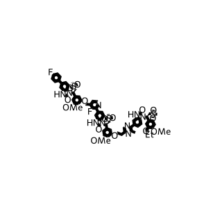 CCOc1cc([C@H](CS(C)(=O)=O)n2c(=O)[nH]c3cc(-c4ncc(CCOc5cc([C@H](CS(C)(=O)=O)n6c(=O)[nH]c7cc(-c8nccc(COc9cc([C@H](CS(C)(=O)=O)n%10c(=O)[nH]c%11cc(-c%12ccc(F)cc%12)ccc%11%10)ccc9OC)c8F)ccc76)ccc5OC)nc4C)ccc32)ccc1OC